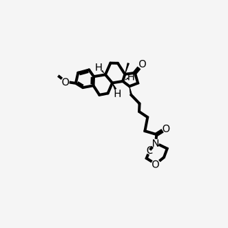 COc1ccc2c(c1)CC[C@H]1[C@@H]3[C@H](CCCCCC(=O)N4CCOCC4)CC(=O)[C@@]3(C)CC[C@H]21